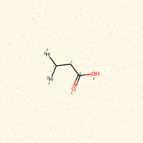 [2H]C([2H])CC(=O)O